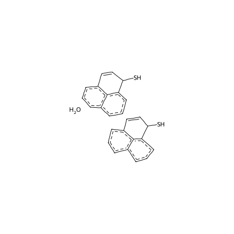 O.SC1C=Cc2cccc3cccc1c23.SC1C=Cc2cccc3cccc1c23